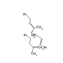 C=C(C)CCC(C)C.CC(C)/C=C/C(C)C.CC(C)=CCC(C)C